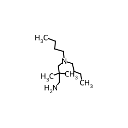 CCCCN(CCCC)CC(C)(C)CN